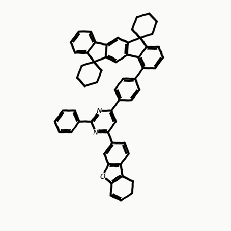 C1=Cc2oc3cc(-c4cc(-c5ccc(-c6cccc7c6-c6cc8c(cc6C76CCCCC6)-c6ccccc6C86CCCCC6)cc5)nc(-c5ccccc5)n4)ccc3c2CC1